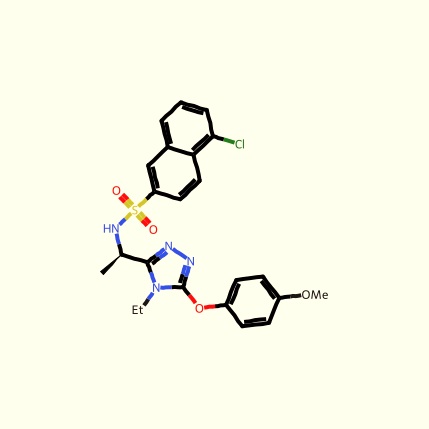 CCn1c(Oc2ccc(OC)cc2)nnc1[C@@H](C)NS(=O)(=O)c1ccc2c(Cl)cccc2c1